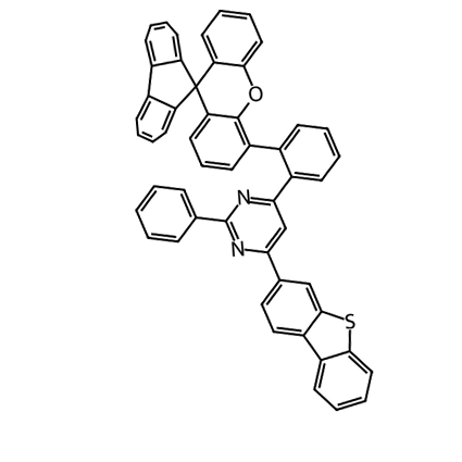 c1ccc(-c2nc(-c3ccc4c(c3)sc3ccccc34)cc(-c3ccccc3-c3cccc4c3Oc3ccccc3C43c4ccccc4-c4ccccc43)n2)cc1